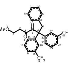 COCCC(=O)NC(Cc1ccccc1)(c1cccc(C(F)(F)F)c1)c1cccc(C(F)(F)F)c1